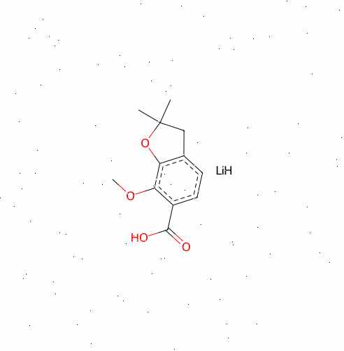 COc1c(C(=O)O)ccc2c1OC(C)(C)C2.[LiH]